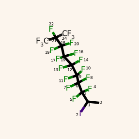 CC(I)C(F)(F)C(F)(F)C(F)(F)C(F)(F)C(F)(F)C(F)(F)C(F)(C(F)(F)F)C(F)(F)F